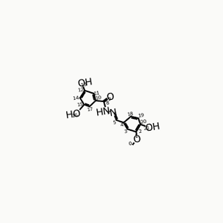 COc1cc(C=NNC(=O)c2cc(O)cc(O)c2)ccc1O